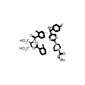 CC(C)(C)OC(=O)N1CCN(c2ncc([C@@](C)(N)c3ccc(F)cc3)cn2)CC1.Cc1ccccc1C(=O)O[C@H](C(=O)O)[C@H](OC(=O)c1ccccc1C)C(=O)O